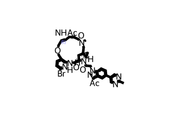 CC(=O)N[C@@H]1C/C=C/COCc2ccc(Br)nc2NC(=O)[C@@H]2C[C@]3(C[C@H]3N2C(=O)Cn2nc(C(C)=O)c3cc(-c4cnc(C)nc4)ccc32)CN(C)C1=O